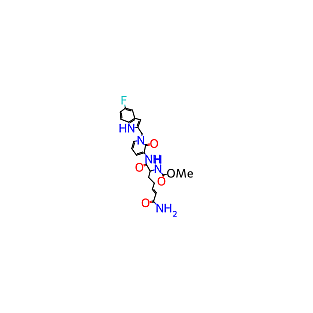 COC(=O)NC(CC/C=C/C(N)=O)C(=O)Nc1cccn(Cc2cc3cc(F)ccc3[nH]2)c1=O